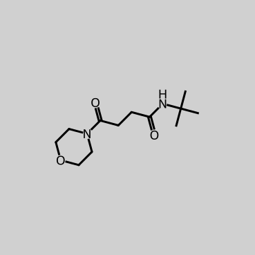 CC(C)(C)NC(=O)CCC(=O)N1CCOCC1